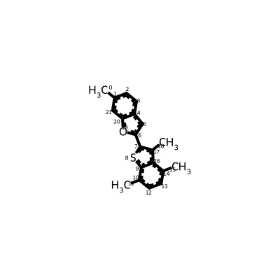 Cc1ccc2cc(-c3sc4c(C)ccc(C)c4c3C)oc2c1